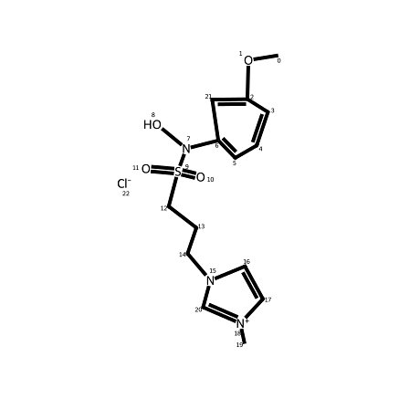 COc1cccc(N(O)S(=O)(=O)CCCn2cc[n+](C)c2)c1.[Cl-]